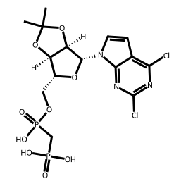 CC1(C)O[C@@H]2[C@H](O1)[C@@H](COP(=O)(O)CP(=O)(O)O)O[C@H]2n1ccc2c(Cl)nc(Cl)nc21